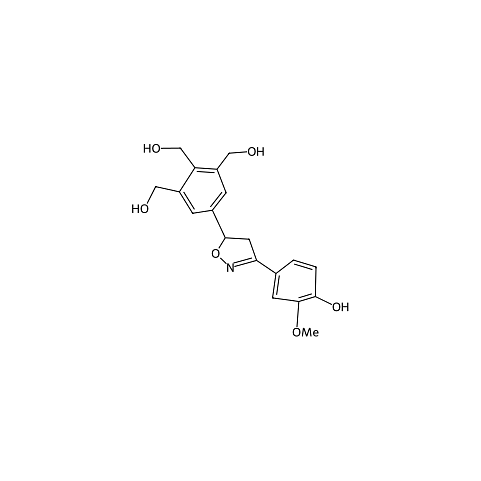 COc1cc(C2=NOC(c3cc(CO)c(CO)c(CO)c3)C2)ccc1O